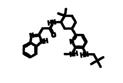 CNc1nc(C2CCC(C)(C)C(NC(=O)Cc3nc4ccccc4[nH]3)C2)ccc1NCC(C)(C)C